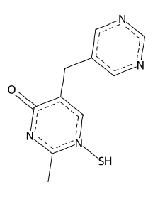 Cc1nc(=O)c(Cc2cncnc2)cn1S